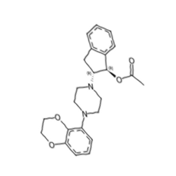 CC(=O)O[C@@H]1c2ccccc2C[C@H]1N1CCN(c2cccc3c2OCCO3)CC1